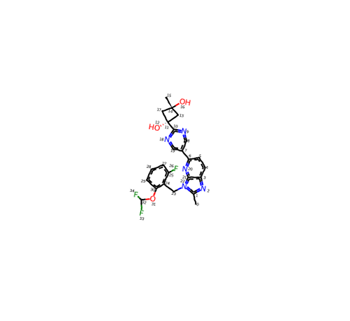 Cc1nc2ccc(-c3cnc([C@]4(O)C[C@@](C)(O)C4)nc3)nc2n1Cc1c(F)cccc1OC(F)F